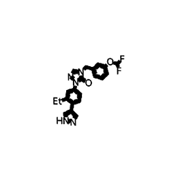 CCc1cc(-n2ncn(Cc3cccc(OC(F)F)c3)c2=O)ccc1-c1cn[nH]c1